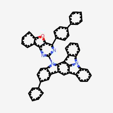 c1ccc(-c2ccc(-c3nc(-n4c5ccc(-c6ccccc6)cc5c5cc6c7ccccc7n7c8ccccc8c(c54)c67)nc4c3oc3ccccc34)cc2)cc1